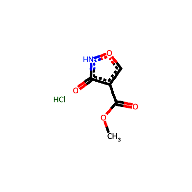 COC(=O)c1co[nH]c1=O.Cl